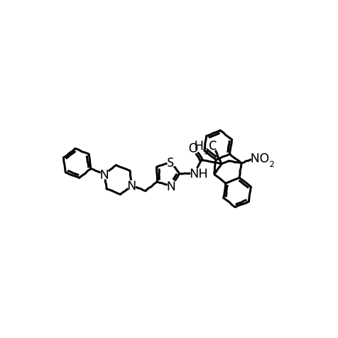 CC1(C(=O)Nc2nc(CN3CCN(c4ccccc4)CC3)cs2)CC2([N+](=O)[O-])c3ccccc3C1c1ccccc12